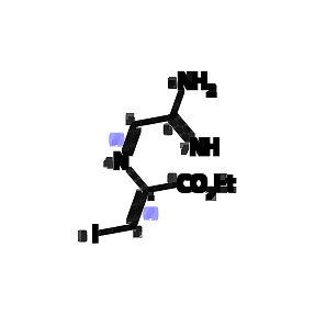 CCOC(=O)C(=C/I)/N=C\C(=N)N